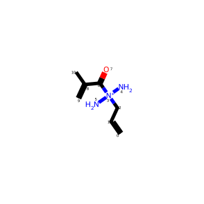 C=CC[N+](N)(N)C(=O)C(=C)C